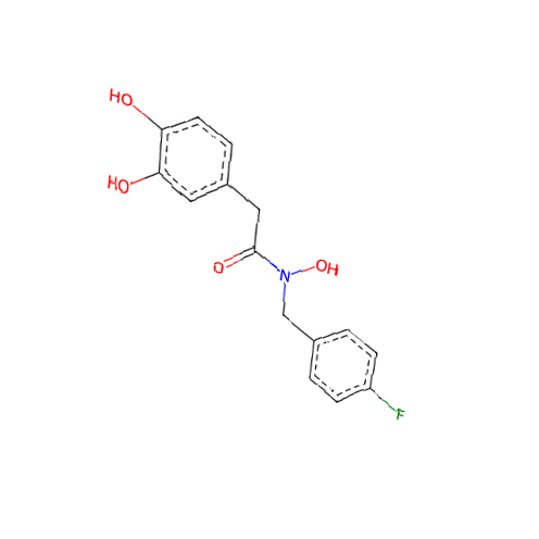 O=C(Cc1ccc(O)c(O)c1)N(O)Cc1ccc(F)cc1